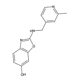 Cc1cc(CNc2nc3ccc(O)cc3o2)ccn1